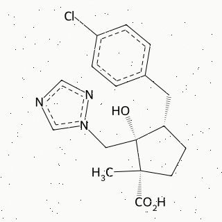 C[C@]1(C(=O)O)CC[C@@H](Cc2ccc(Cl)cc2)[C@]1(O)Cn1cncn1